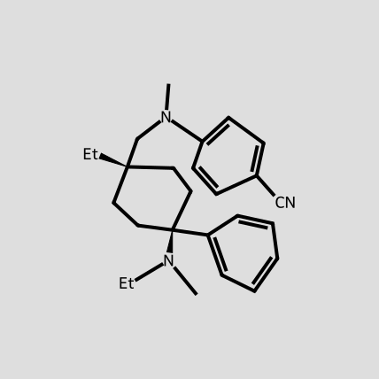 CCN(C)[C@]1(c2ccccc2)CC[C@@](CC)(CN(C)c2ccc(C#N)cc2)CC1